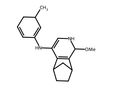 COC1NC=C(NC2=CC(C)CC=C2)C2=C1C1CCC2C1